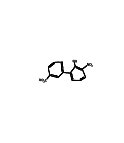 O=C(O)c1cccc(-c2cccc([N+](=O)[O-])c2O)c1